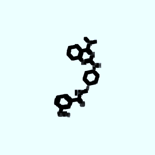 COc1cccc(C(=O)NC[C@H]2CC[C@@H](Nc3nc4c(c(N(C)C)n3)CCCC4)CC2)c1